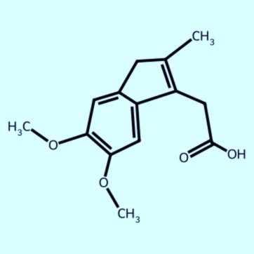 COc1cc2c(cc1OC)C(CC(=O)O)=C(C)C2